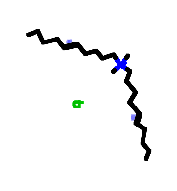 CCCC/C=C/CCCC[N+](C)(C)CCCC/C=C/CCCC.[Cl-]